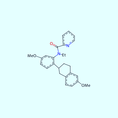 CCN(C(=O)c1ccccn1)c1cc(OC)ccc1C1CCc2cc(OC)ccc2C1